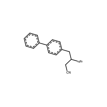 CCCC(CC#N)Cc1ccc(-c2ccccc2)cc1